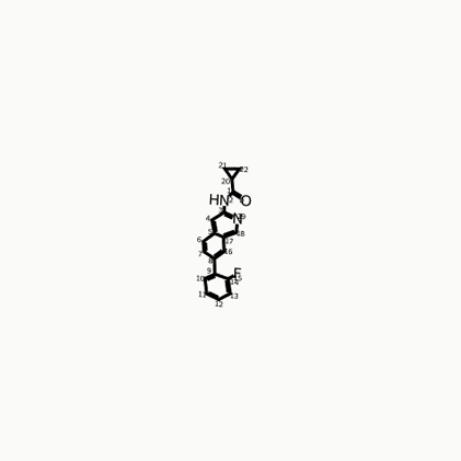 O=C(Nc1cc2ccc(-c3ccccc3F)cc2cn1)C1CC1